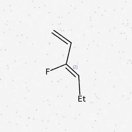 C=C/C(F)=C/CC